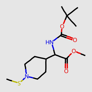 COC(=O)C(NC(=O)OC(C)(C)C)C1CCN(SC)CC1